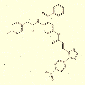 Cc1ccc(CC(=O)Nc2ccc(NC(=O)C=Cc3ncsc3-c3ccc([N+](=O)[O-])cc3)cc2C(=O)c2ccccc2)cc1